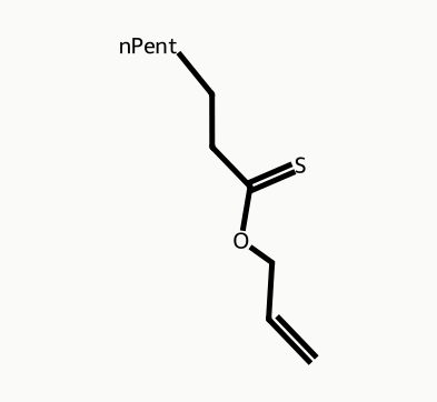 C=CCOC(=S)CCCCCCC